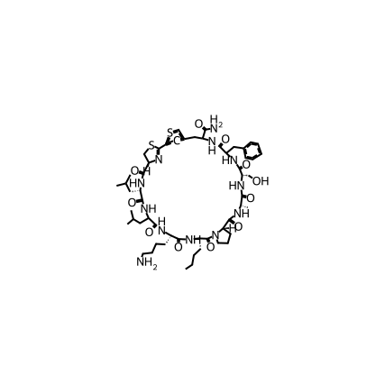 CCCC[C@@H]1NC(=O)[C@H](CCCCN)NC(=O)C(CC(C)C)NC(=O)[C@H](CC(C)C)NC(=O)[C@@H]2CSC(=N2)c2cc(cs2)CC(C(N)=O)NC(=O)C(Cc2ccccc2)NC(=O)[C@H](CO)NC(=O)[C@H](C)NC(=O)[C@@H]2CCCN2C1=O